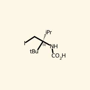 CC(C)[C@](CI)(NC(=O)O)C(C)(C)C